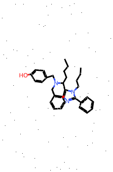 CCCCC(c1cnc(-c2ccccc2)n1CCCC)N(Cc1ccccc1)Cc1ccc(O)cc1